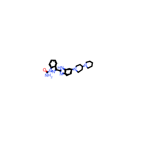 NC(=O)n1nc(-c2nc3ccc(N4CCC(N5CCCCC5)CC4)cc3[nH]2)c2[c]cccc21